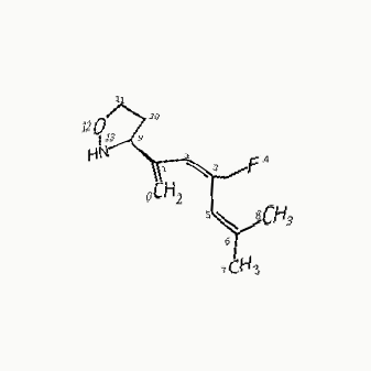 C=C(/C=C(/F)C=C(C)C)[C@@H]1CCON1